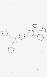 c1ccc(C2=NC(c3ccccc3)NC(c3ccc(-c4ccc5c(c4)-c4ccccc4C54c5ccccc5Oc5ccccc54)cc3)=N2)cc1